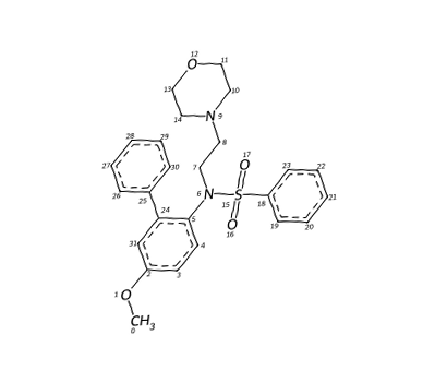 COc1ccc(N(CCN2CCOCC2)S(=O)(=O)c2ccccc2)c(-c2ccccc2)c1